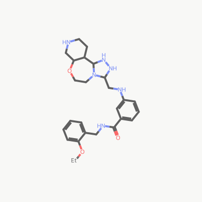 CCOc1ccccc1CNC(=O)c1cccc(NCC2NNC3C4CCNCC4OCCN23)c1